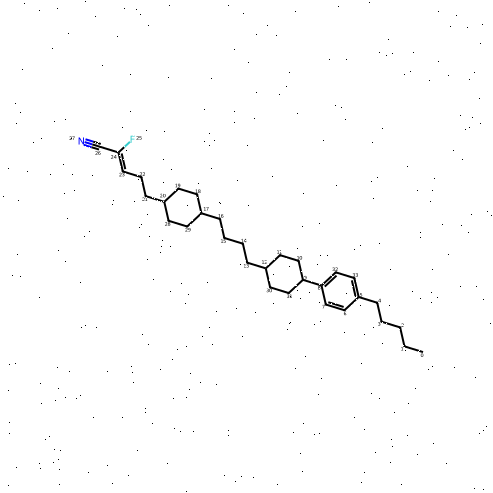 CCCCCc1ccc(C2CCC(CCCCC3CCC(CCC=C(F)C#N)CC3)CC2)cc1